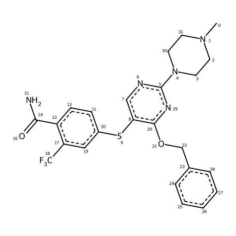 CN1CCN(c2ncc(Sc3ccc(C(N)=O)c(C(F)(F)F)c3)c(OCc3ccccc3)n2)CC1